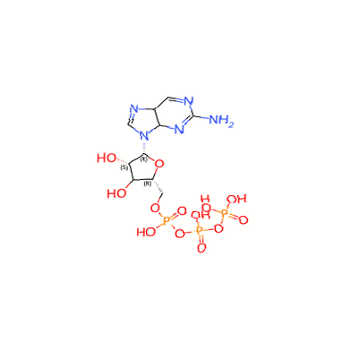 NC1=NC2C(C=N1)N=CN2[C@@H]1O[C@H](COP(=O)(O)OP(=O)(O)OP(=O)(O)O)C(O)[C@@H]1O